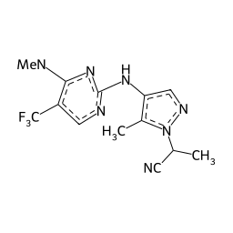 CNc1nc(Nc2cnn(C(C)C#N)c2C)ncc1C(F)(F)F